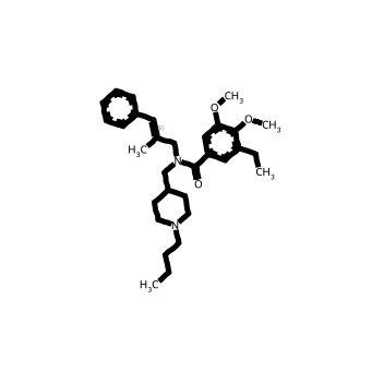 CCCCN1CCC(CN(C/C(C)=C/c2ccccc2)C(=O)c2cc(CC)c(OC)c(OC)c2)CC1